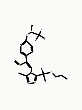 C=N/C(=C\n1c(C)nnc1C(F)(F)OCCC)c1ccc(O[C@@H](C)C(F)(F)F)nc1